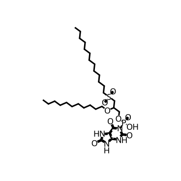 CCCCCCCCCCCCCS(=O)(=O)CC(COP(=O)(O)n1c(=O)[nH]c2[nH]c(=O)[nH]c2c1=O)OCCCCCCCCCCC